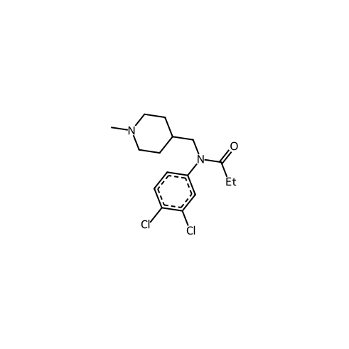 CCC(=O)N(CC1CCN(C)CC1)c1ccc(Cl)c(Cl)c1